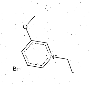 CC[n+]1cccc(OC)c1.[Br-]